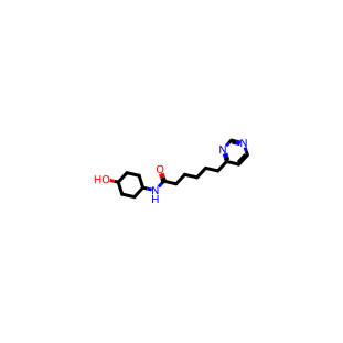 O=C(CCCCCc1ccncn1)NC1CCC(O)CC1